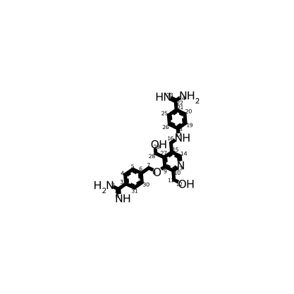 N=C(N)c1ccc(COc2c(CO)ncc(CNc3ccc(C(=N)N)cc3)c2CO)cc1